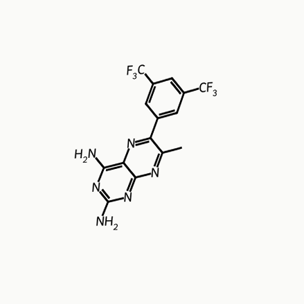 Cc1nc2nc(N)nc(N)c2nc1-c1cc(C(F)(F)F)cc(C(F)(F)F)c1